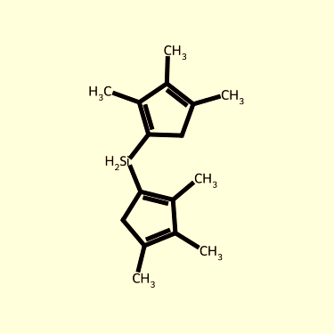 CC1=C(C)C(C)=C([SiH2]C2=C(C)C(C)=C(C)C2)C1